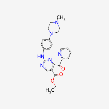 CCOC(=O)c1cnc(Nc2ccc(N3CCN(C)CC3)cc2)nc1C(=O)c1ccccn1